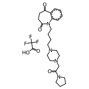 O=C(O)C(F)(F)F.O=C1CCC(=O)N(CCCCN2CCN(CC(=O)N3CCCC3)CC2)c2ccccc21